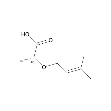 CC(C)=CCO[C@H](C)C(=O)O